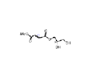 COC(=O)/C=C/C(=O)OC[C@@H](O)CO